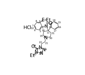 CCC(=O)N(c1ccccc1F)C1(c2ccccc2)CCN(CCn2nnn(CC)c2=O)CC1.Cl